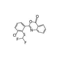 O=c1oc(-c2cccc(Cl)c2SC(F)F)nc2ccccc12